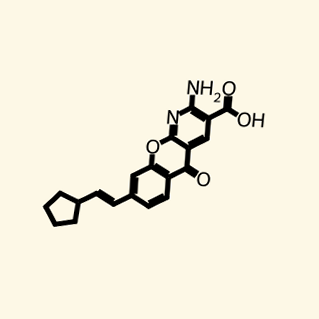 Nc1nc2oc3cc(C=CC4CCCC4)ccc3c(=O)c2cc1C(=O)O